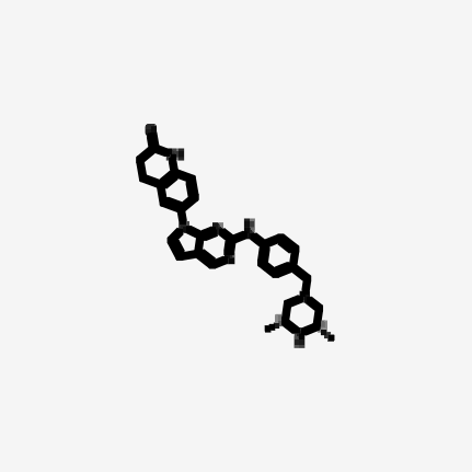 C[C@@H]1CN(Cc2ccc(Nc3ncc4ccn(-c5ccc6c(c5)CCC(=O)N6)c4n3)cc2)C[C@H](C)N1